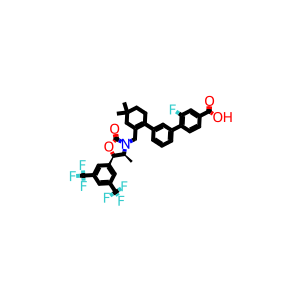 C[C@H]1[C@@H](c2cc(C(F)(F)F)cc(C(F)(F)F)c2)OC(=O)N1CC1=C(c2cccc(-c3ccc(C(=O)O)cc3F)c2)CCC(C)(C)C1